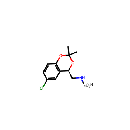 CC1(C)Oc2ccc(Cl)cc2[C@H](CNS(=O)(=O)O)O1